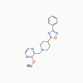 CC(C)(C)Oc1nccnc1CN1CCC(c2nc(-c3ccccc3)no2)CC1